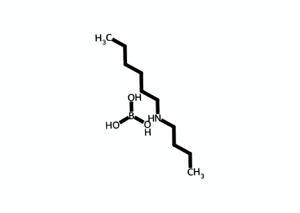 CCCCCCNCCCC.OB(O)O